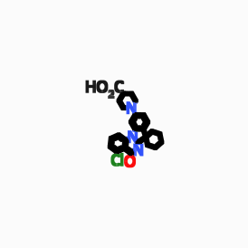 O=C(O)C1CCN(c2ccc3c(c2)-n2c(nc(=O)c4c(Cl)cccc42)C32CCCCC2)CC1